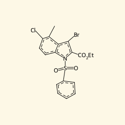 CCOC(=O)c1c(Br)c2c(C)c(Cl)ccc2n1S(=O)(=O)c1ccccc1